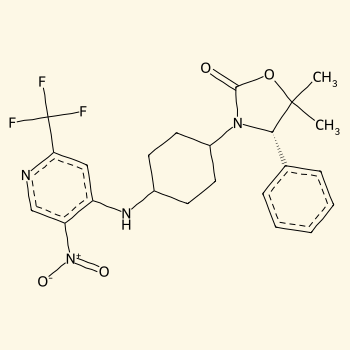 CC1(C)OC(=O)N(C2CCC(Nc3cc(C(F)(F)F)ncc3[N+](=O)[O-])CC2)[C@H]1c1ccccc1